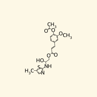 COc1cc(/C=C/C(=O)OCC(O)Nc2ncc(C)s2)ccc1OC(C)=O